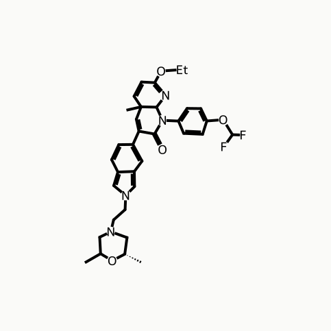 CCOC1=NC2N(c3ccc(OC(F)F)cc3)C(=O)C(c3ccc4cn(CCN5CC(C)O[C@@H](C)C5)cc4c3)=CC2(C)C=C1